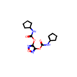 O=C(NC1CCCC1)Oc1nonc1OC(=O)NC1CCCC1